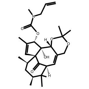 C=CCN(C)C(=O)O[C@H]1C(C)=C[C@]23C(=O)[C@@H](C=C4COC(C)(C)O[C@H]4[C@]12O)C(C)(C)[C@@H](C)C[C@H]3C